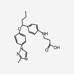 CCCC(Oc1ccc(-n2cnc(C)n2)cc1)c1ccc(NCCC(=O)O)cc1